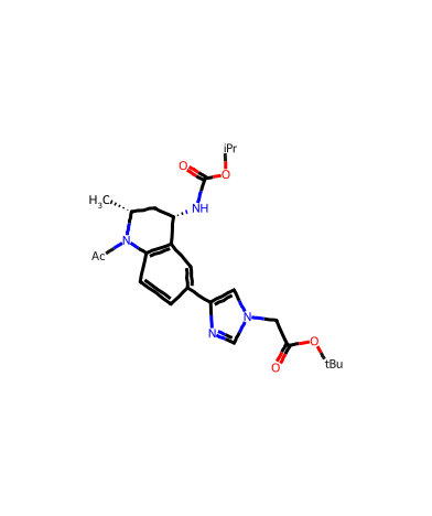 CC(=O)N1c2ccc(-c3cn(CC(=O)OC(C)(C)C)cn3)cc2[C@@H](NC(=O)OC(C)C)C[C@H]1C